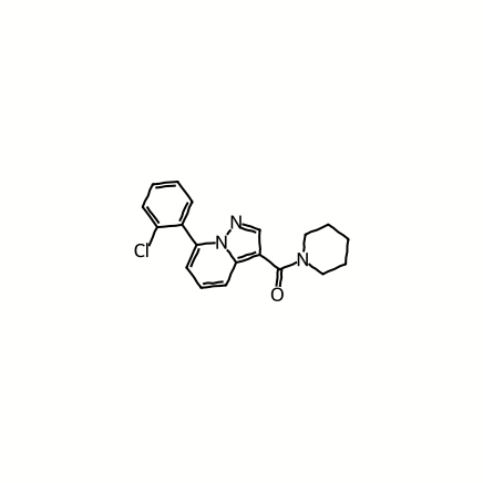 O=C(c1cnn2c(-c3ccccc3Cl)cccc12)N1CCCCC1